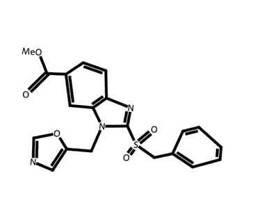 COC(=O)c1ccc2nc(S(=O)(=O)Cc3ccccc3)n(Cc3cnco3)c2c1